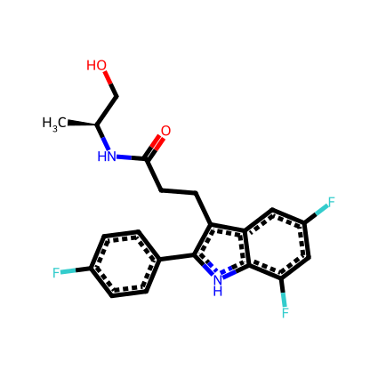 C[C@@H](CO)NC(=O)CCc1c(-c2ccc(F)cc2)[nH]c2c(F)cc(F)cc12